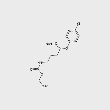 CC(=O)OCOC(=O)NCCCC(=O)Oc1ccc(Cl)cc1.[NaH]